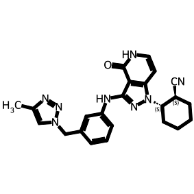 Cc1cn(Cc2cccc(Nc3nn([C@H]4CCCC[C@@H]4C#N)c4cc[nH]c(=O)c34)c2)nn1